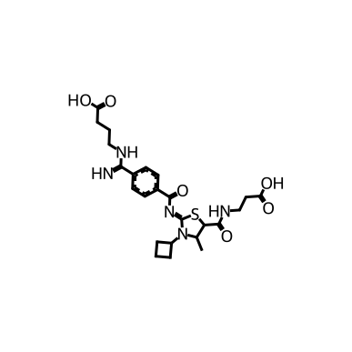 CC1C(C(=O)NCCC(=O)O)SC(=NC(=O)c2ccc(C(=N)NCCCC(=O)O)cc2)N1C1CCC1